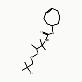 CCC(C)(C)COSC(C)C(C)(C)NC(=O)OC1CC/C=C\CCC1